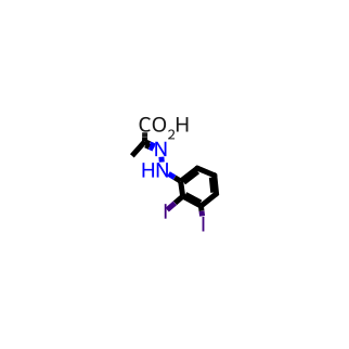 CC(=NNc1cccc(I)c1I)C(=O)O